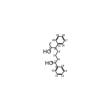 CC(O)C(CCCC(O)c1ccccc1)c1ccccc1